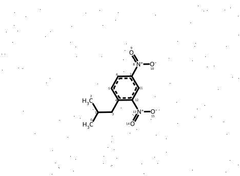 C[C](C)Cc1ccc([N+](=O)[O-])cc1[N+](=O)[O-]